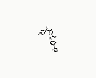 CN1CCN(C(=O)c2ccc(C(=O)Nc3ccc(-n4cncn4)cc3)s2)CC1